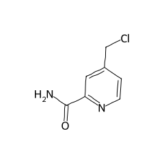 NC(=O)c1cc(CCl)ccn1